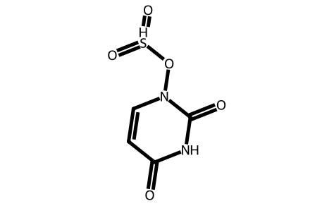 O=c1ccn(O[SH](=O)=O)c(=O)[nH]1